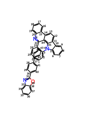 c1ccc(-n2c3ccccc3c3ccc4c5ccccc5nc(-c5ccc(-c6ccc(-c7nc8ccccc8o7)cc6)cc5)c4c32)cc1